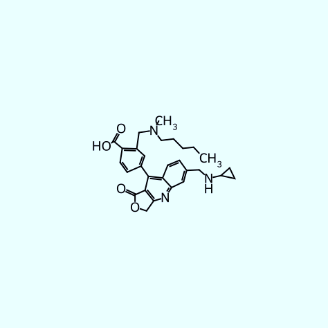 CCCCCN(C)Cc1cc(-c2c3c(nc4cc(CNC5CC5)ccc24)COC3=O)ccc1C(=O)O